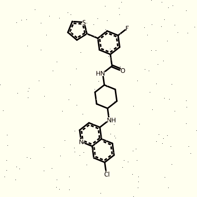 O=C(NC1CCC(Nc2ccnc3cc(Cl)ccc23)CC1)c1cc(F)cc(-c2cccs2)c1